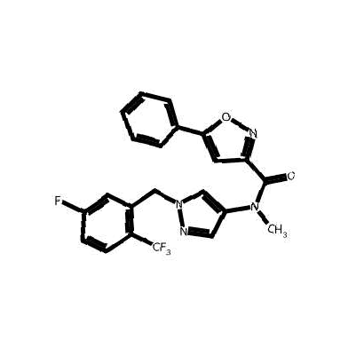 CN(C(=O)c1cc(-c2ccccc2)on1)c1cnn(Cc2cc(F)ccc2C(F)(F)F)c1